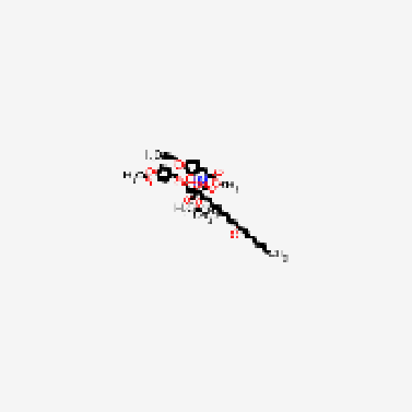 CC#CCOc1ccc(C[C@H](NC(=O)[C@@H](/C=C/CCCCCCC(=O)CCCCCCC)[C@@](O)(CC(=O)OCc2ccc(OC(C)=O)cc2)C(=O)OC(C)(C)C)C(=O)OC)cc1